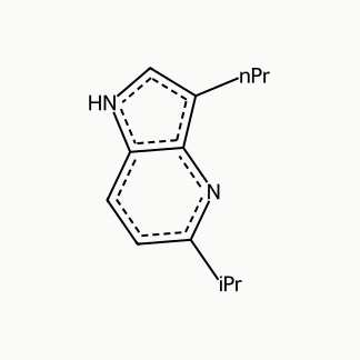 CCCc1c[nH]c2ccc(C(C)C)nc12